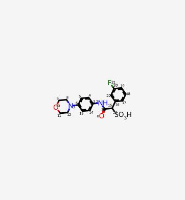 O=C(Nc1ccc(N2CCOCC2)cc1)C(c1cccc(F)c1)S(=O)(=O)O